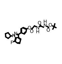 CC(C)(C)OC(=O)NCC(=O)NCC(=O)Oc1ccc(-c2nn(C3CCCC3)c3c(F)cccc23)cc1